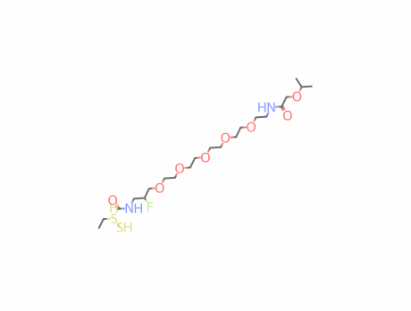 CC[SH](S)C(=O)NCC(F)COCCOCCOCCOCCOCCNC(=O)COC(C)C